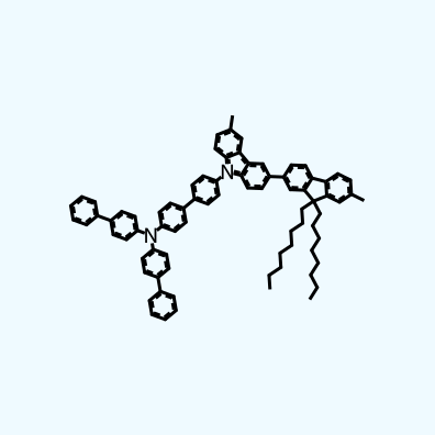 CCCCCCCCC1(CCCCCCCC)c2cc(C)ccc2-c2ccc(-c3ccc4c(c3)c3cc(C)ccc3n4-c3ccc(-c4ccc(N(c5ccc(-c6ccccc6)cc5)c5ccc(-c6ccccc6)cc5)cc4)cc3)cc21